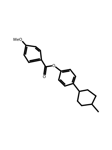 COc1ccc(C(=O)Oc2ccc(C3CCC(C)CC3)cc2)cc1